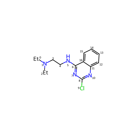 CCN(CC)CCNc1nc(Cl)nc2ccccc12